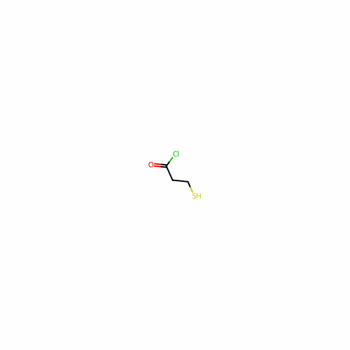 O=C(Cl)CCS